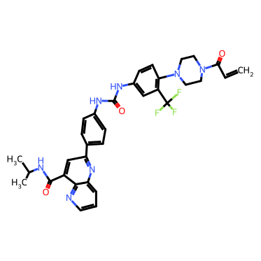 C=CC(=O)N1CCN(c2ccc(NC(=O)Nc3ccc(-c4cc(C(=O)NC(C)C)c5ncccc5n4)cc3)cc2C(F)(F)F)CC1